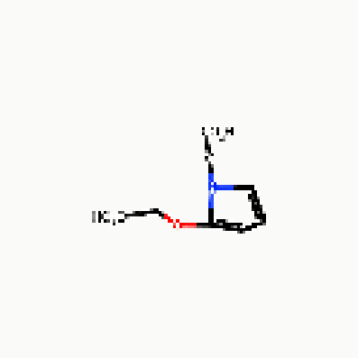 O=C(O)COc1cccn1CC(=O)O